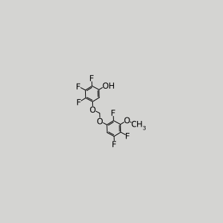 COc1c(F)c(F)cc(OCOc2cc(O)c(F)c(F)c2F)c1F